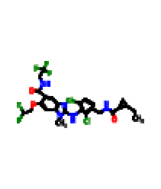 CCC1CC1C(=O)NCc1ccc(Cl)c(Nc2nc3cc(C(=O)NCC(F)(F)F)c(OCC(F)F)cc3n2C)c1Cl